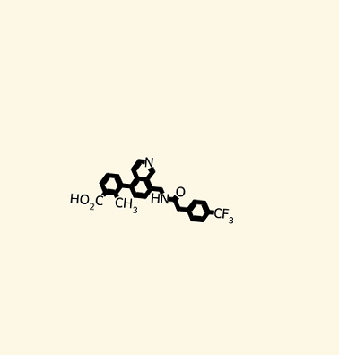 Cc1c(C(=O)O)cccc1-c1ccc(CNC(=O)Cc2ccc(C(F)(F)F)cc2)c2cnccc12